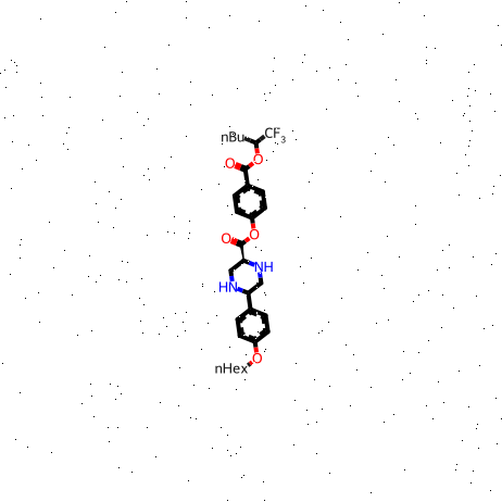 CCCCCCOc1ccc(C2CN[C@H](C(=O)Oc3ccc(C(=O)OC(CCCC)C(F)(F)F)cc3)CN2)cc1